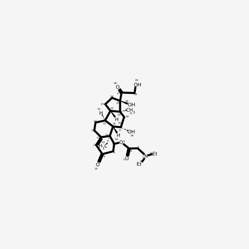 CCN(CC)CC(=O)OC1CC(=O)C=C2CC[C@@H]3[C@H]([C@@H](O)C[C@@]4(C)[C@H]3CC[C@]4(O)C(=O)CO)[C@]21C